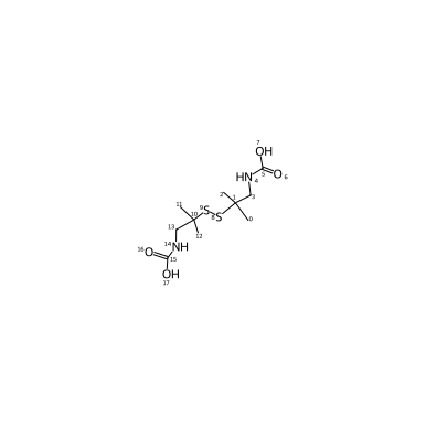 CC(C)(CNC(=O)O)SSC(C)(C)CNC(=O)O